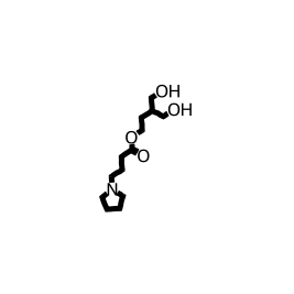 O=C(CCCN1CCCC1)OCCC(CO)CO